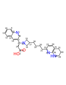 O=C(O)C[C@@H](c1cnc2ccccc2c1)N1CC(CCCCc2ccc3c(n2)NCCC3)C1